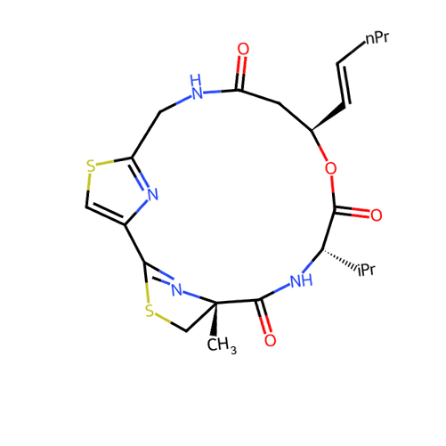 CCC/C=C/[C@@H]1CC(=O)NCc2nc(cs2)C2=N[C@@](C)(CS2)C(=O)N[C@@H](C(C)C)C(=O)O1